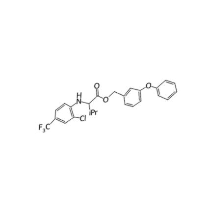 CC(C)C(Nc1ccc(C(F)(F)F)cc1Cl)C(=O)OCc1cccc(Oc2ccccc2)c1